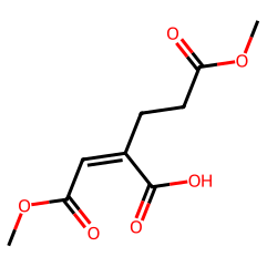 COC(=O)C=C(CCC(=O)OC)C(=O)O